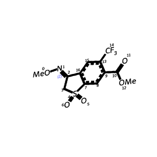 CO/N=C1\CS(=O)(=O)c2cc(C(=O)OC)c(C(F)(F)F)cc21